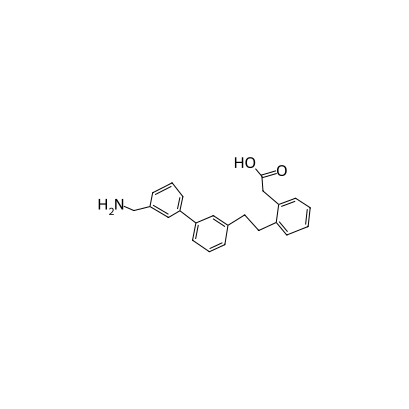 NCc1cccc(-c2cccc(CCc3ccccc3CC(=O)O)c2)c1